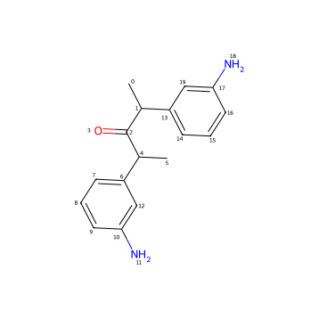 CC(C(=O)C(C)c1cccc(N)c1)c1cccc(N)c1